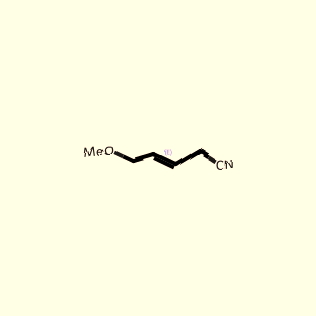 COC/C=C/CC#N